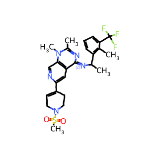 Cc1c(C(C)/N=c2\nc(C)n(C)c3cnc(C4=CCN(S(C)(=O)=O)CC4)cc23)cccc1C(F)(F)F